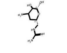 N=C(N)NC[C@@H]1CC(N)C(O)[C@H](O)O1